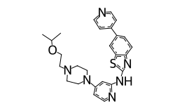 CC(C)OCCN1CCN(c2ccnc(Nc3nc4ccc(-c5ccncc5)cc4s3)c2)CC1